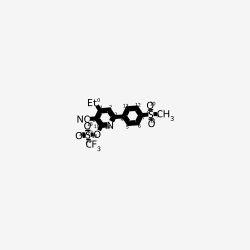 CCc1cc(-c2ccc(S(C)(=O)=O)cc2)nc(OS(=O)(=O)C(F)(F)F)c1C#N